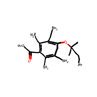 Bc1c(B)c(C(=O)OC)c(B)c(B)c1OC(C)(C)CC(C)C